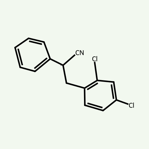 N#C[C](Cc1ccc(Cl)cc1Cl)c1ccccc1